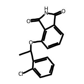 CC(Oc1cccc2c1C(=O)NC2=O)c1ccccc1Cl